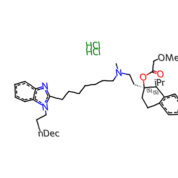 CCCCCCCCCCCCn1c(CCCCCCCN(C)CC[C@@]2(OC(=O)COC)CCc3cc(F)ccc3[C@@H]2C(C)C)nc2ccccc21.Cl.Cl